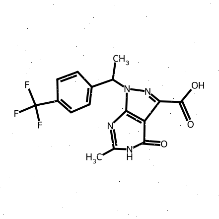 Cc1nc2c(c(C(=O)O)nn2C(C)c2ccc(C(F)(F)F)cc2)c(=O)[nH]1